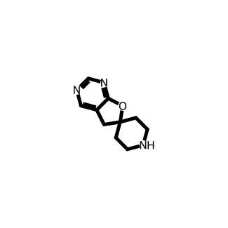 c1ncc2c(n1)OC1(CCNCC1)C2